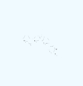 Nc1ncc(-c2ccc(C3(n4cnc(-c5cccnc5N)c4)CCC3)cn2)cn1